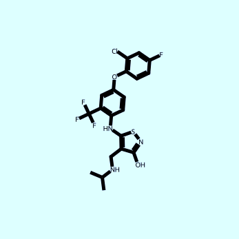 CC(C)NCc1c(O)nsc1Nc1ccc(Oc2ccc(F)cc2Cl)cc1C(F)(F)F